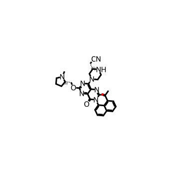 C=C(C)c1cccc2cccc(-n3c(C)nc4c(N5CCN[C@@H](CC#N)C5)nc(OC[C@@H]5CCCN5C)nc4c3=O)c12